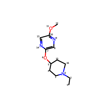 CCN1CCC(Oc2cnc(OC)cn2)CC1